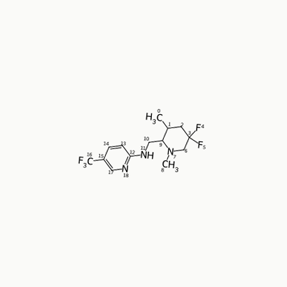 CC1CC(F)(F)CN(C)C1CNc1ccc(C(F)(F)F)cn1